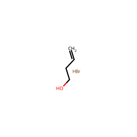 Br.C=CCCO